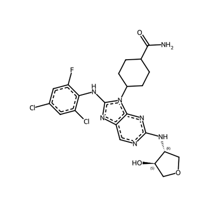 NC(=O)C1CCC(n2c(Nc3c(F)cc(Cl)cc3Cl)nc3cnc(N[C@@H]4COC[C@H]4O)nc32)CC1